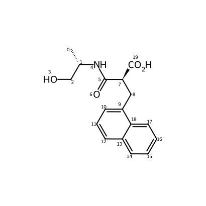 C[C@@H](CO)NC(=O)[C@H](Cc1cccc2ccccc12)C(=O)O